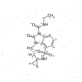 CCNC(=O)n1c(=O)n(C)c2c(S(=O)(=O)NC3(C)CC3)cccc21